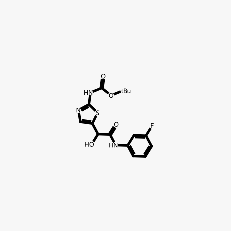 CC(C)(C)OC(=O)Nc1ncc(C(O)C(=O)Nc2cccc(F)c2)s1